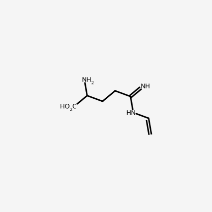 C=CNC(=N)CCC(N)C(=O)O